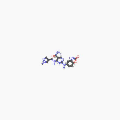 Cn1cc(CNc2nc(Nc3ccc4oc(=O)[nH]c4c3)ncc2C(N)=O)cn1